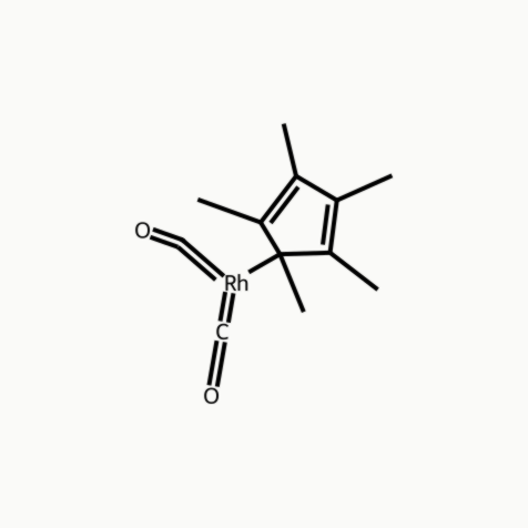 CC1=C(C)[C](C)([Rh](=[C]=O)=[C]=O)C(C)=C1C